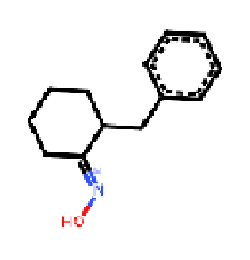 O/N=C1\CCCCC1Cc1ccccc1